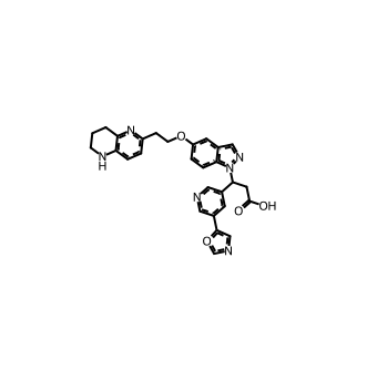 O=C(O)CC(c1cncc(-c2cnco2)c1)n1ncc2cc(OCCc3ccc4c(n3)CCCN4)ccc21